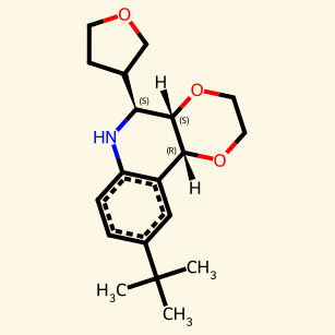 CC(C)(C)c1ccc2c(c1)[C@H]1OCCO[C@H]1[C@H](C1CCOC1)N2